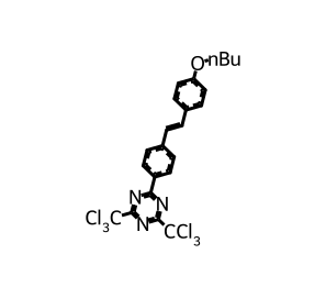 CCCCOc1ccc(C=Cc2ccc(-c3nc(C(Cl)(Cl)Cl)nc(C(Cl)(Cl)Cl)n3)cc2)cc1